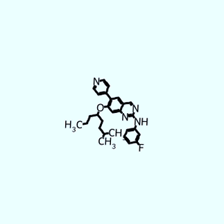 CCCC(CCC(C)C)Oc1cc2nc(Nc3cccc(F)c3)ncc2cc1-c1ccncc1